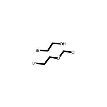 ClCOCCBr.OCCBr